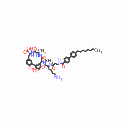 CCCCCCCCc1ccc(-c2ccc(C(=O)NCCC(=O)N[C@@H](CCCCN)C(=O)N(C)[C@@H]3C(=O)N[C@@H](C)C(=O)N[C@H](C(=O)O)Cc4ccc(O)c(c4)-c4cc3ccc4O)cc2)cc1